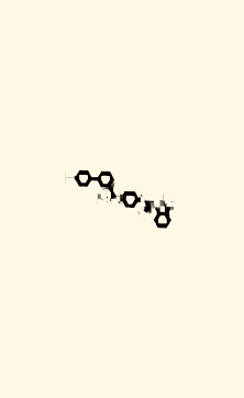 O=C(Nc1ccc(NS(=O)(=O)c2cccc(-c3ccc(F)cc3)c2)cc1)Nc1ccccc1Cl